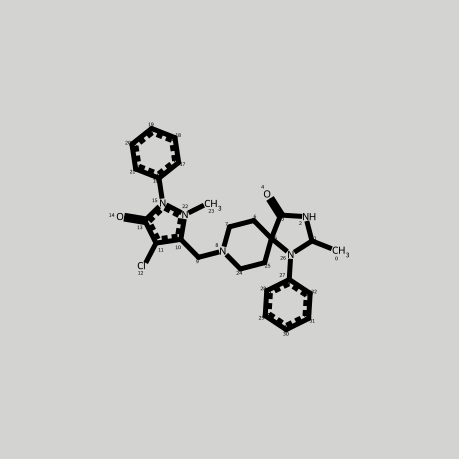 CC1NC(=O)C2(CCN(Cc3c(Cl)c(=O)n(-c4ccccc4)n3C)CC2)N1c1ccccc1